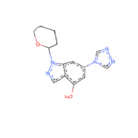 Oc1cc(-n2cnnc2)cc2c1cnn2C1CCCCO1